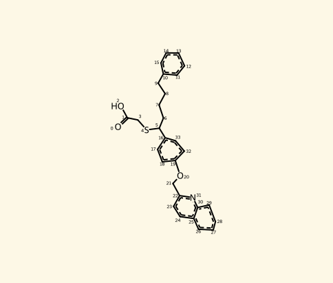 O=C(O)CSC(CCCCc1ccccc1)c1ccc(OCc2ccc3ccccc3n2)cc1